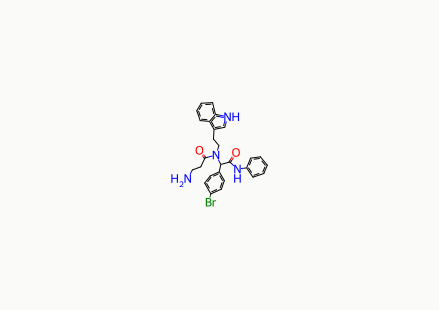 NCCC(=O)N(CCc1c[nH]c2ccccc12)C(C(=O)Nc1ccccc1)c1ccc(Br)cc1